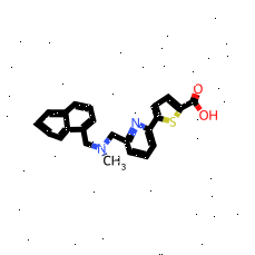 CN(Cc1cccc(-c2ccc(C(=O)O)s2)n1)Cc1cccc2ccccc12